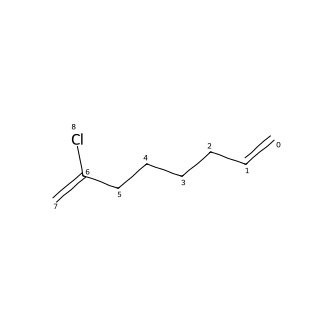 C=CCCCCC(=C)Cl